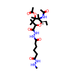 CC[C@H]1OC(C(=O)NNC(=O)CCCCC(=O)NNC)C(C)(C)C(C)(OC(C)=O)C1(C)NC(C)=O